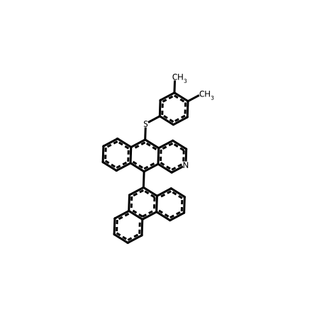 Cc1ccc(Sc2c3ccccc3c(-c3cc4ccccc4c4ccccc34)c3cnccc23)cc1C